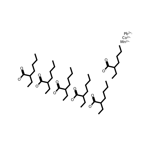 CCCCC(CC)C(=O)[O-].CCCCC(CC)C(=O)[O-].CCCCC(CC)C(=O)[O-].CCCCC(CC)C(=O)[O-].CCCCC(CC)C(=O)[O-].CCCCC(CC)C(=O)[O-].[Co+2].[Mn+2].[Pb+2]